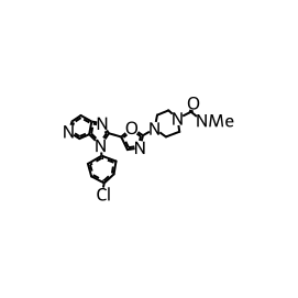 CNC(=O)N1CCN(c2ncc(-c3nc4ccncc4n3-c3ccc(Cl)cc3)o2)CC1